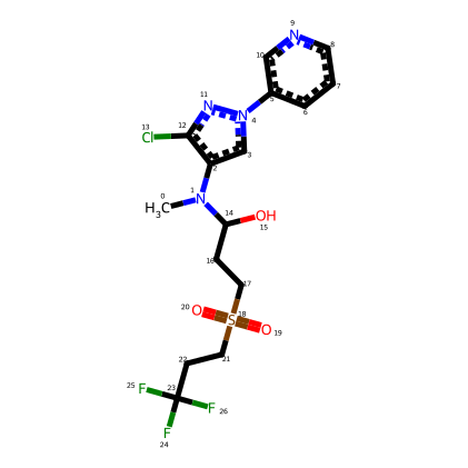 CN(c1cn(-c2cccnc2)nc1Cl)C(O)CCS(=O)(=O)CCC(F)(F)F